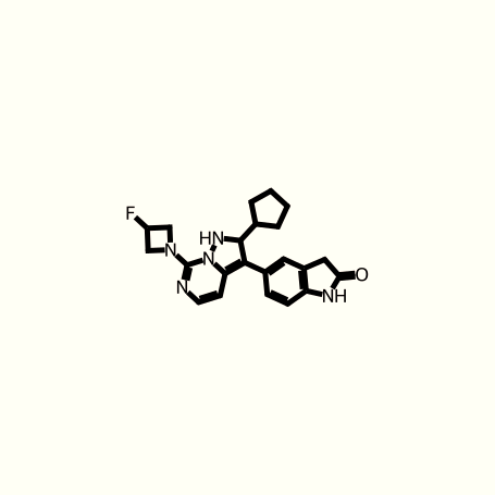 O=C1Cc2cc(C3=C4C=CN=C(N5CC(F)C5)N4NC3C3CCCC3)ccc2N1